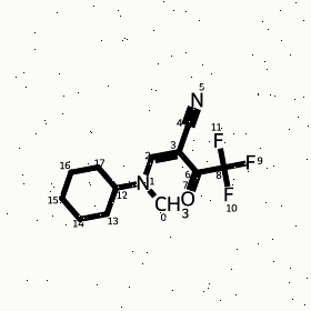 CN(C=C(C#N)C(=O)C(F)(F)F)C1CCCCC1